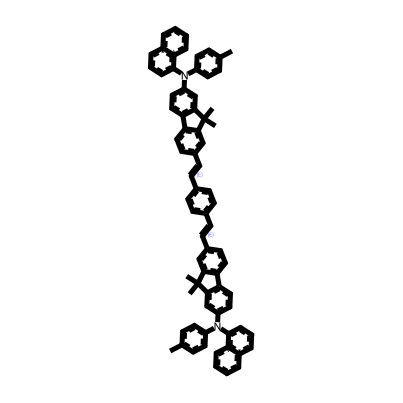 Cc1ccc(N(c2ccc3c(c2)C(C)(C)c2cc(/C=C/c4ccc(/C=C/c5ccc6c(c5)C(C)(C)c5cc(N(c7ccc(C)cc7)c7cccc8ccccc78)ccc5-6)cc4)ccc2-3)c2cccc3ccccc23)cc1